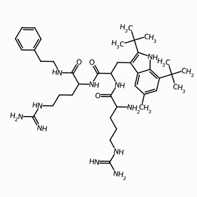 Cc1cc(C(C)(C)C)c2[nH]c(C(C)(C)C)c(CC(NC(=O)C(N)CCCNC(=N)N)C(=O)NC(CCCNC(=N)N)C(=O)NCCc3ccccc3)c2c1